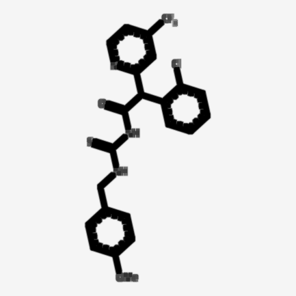 COc1ccc(CNC(=S)NC(=O)C(c2cc(C(F)(F)F)ccn2)c2ccccc2Cl)cc1